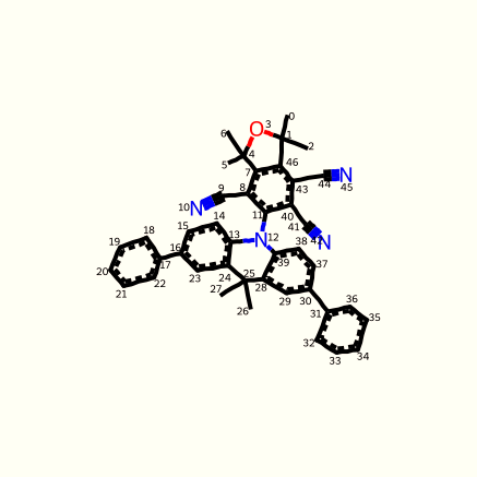 CC1(C)OC(C)(C)c2c(C#N)c(N3c4ccc(-c5ccccc5)cc4C(C)(C)c4cc(-c5ccccc5)ccc43)c(C#N)c(C#N)c21